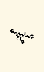 O=C(CC1C(=O)N(CCc2cccs2)CC(=O)N1CCc1cccs1)NCCCn1ccnc1